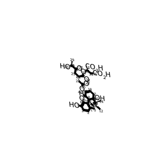 Cc1ccc(O)c2c1[C@]13CCN(C)[C@H](C)[C@]1(O)CC=C(OC(=O)C[C@H](CC(=O)[C@H](C)O)C(=O)O[C@@H](CC(=O)O)C(=O)O)[C@@H]3O2